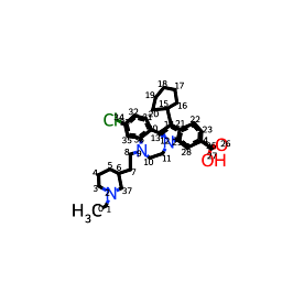 CCN1CCCC(CCN2CCn3c(c(C4CCCCC4)c4ccc(C(=O)O)cc43)-c3ccc(Cl)cc32)C1